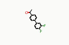 CC(=O)c1ccc(-c2ccc(F)c(F)c2)cc1